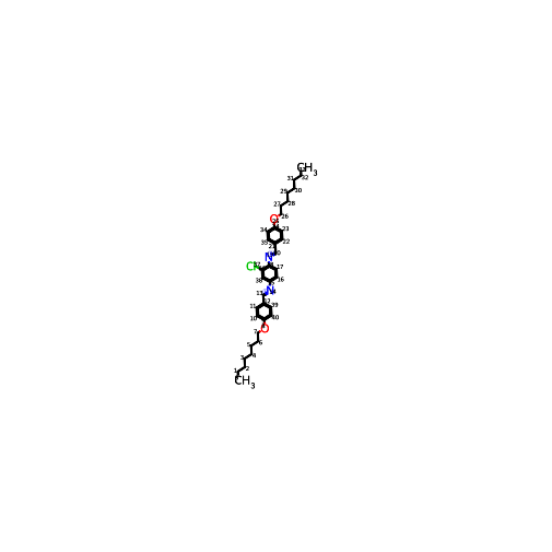 CCCCCCCCOc1ccc(/C=N/c2ccc(/N=C/c3ccc(OCCCCCCCC)cc3)c(Cl)c2)cc1